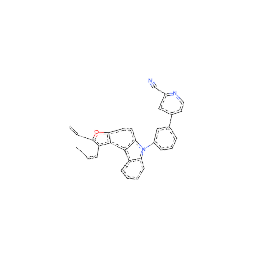 C=Cc1oc2ccc3c(c4ccccc4n3-c3cccc(-c4ccnc(C#N)c4)c3)c2c1/C=C\C